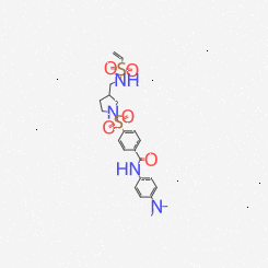 C=CS(=O)(=O)NCC1CCN(S(=O)(=O)c2ccc(C(=O)Nc3ccc(N(C)C)cc3)cc2)C1